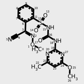 CON=C(C#N)c1ccccc1S(=O)(=O)NC(=O)Nc1nc(C)cc(OC)n1